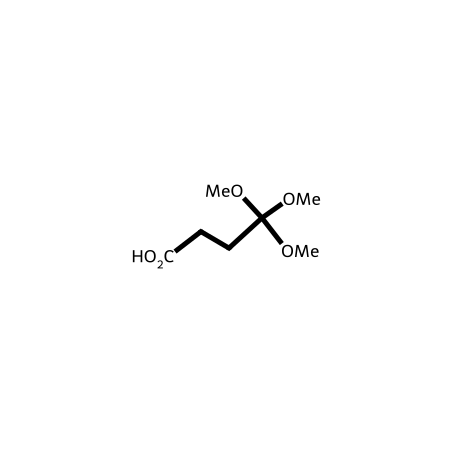 COC(CCC(=O)O)(OC)OC